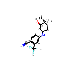 CC1(C)CCC(Nc2ccc(C#N)c(C(F)(F)F)c2)CC1=O